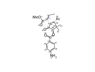 C/C=C(/C(=O)OC)[C@H]1C(=O)[C@H](OC(=O)c2ccc(N)cc2)C(C)(C)[C@H]1C(C)=O